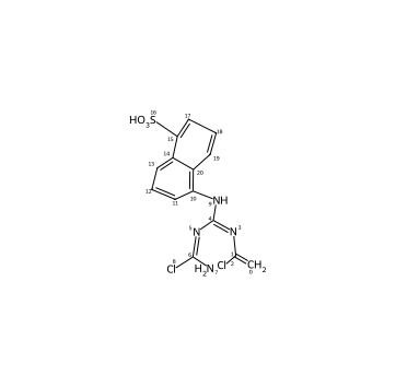 C=C(Cl)/N=C(\N=C(/N)Cl)Nc1cccc2c(S(=O)(=O)O)cccc12